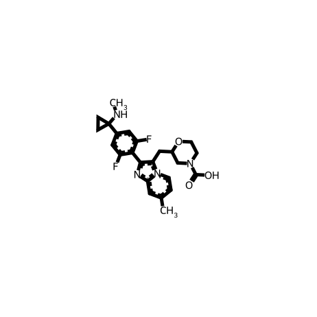 CNC1(c2cc(F)c(-c3nc4cc(C)ccn4c3CC3CN(C(=O)O)CCO3)c(F)c2)CC1